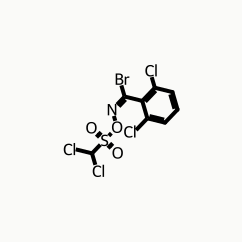 O=S(=O)(O/N=C(/Br)c1c(Cl)cccc1Cl)C(Cl)Cl